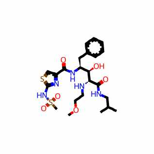 COCCN[C@@H](C(=O)NCC(C)C)[C@H](O)[C@H](Cc1ccccc1)NC(=O)c1csc(NS(C)(=O)=O)n1